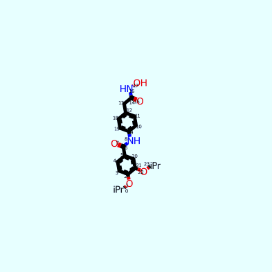 CC(C)Oc1ccc(C(=O)Nc2ccc(CC(=O)NO)cc2)cc1OC(C)C